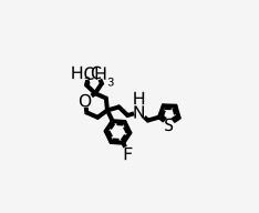 CCC1(CC)CC(CCNCc2cccs2)(c2ccc(F)cc2)CCO1